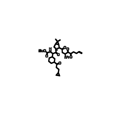 C=CCCC(=O)C(=O)C(CCC)CC(=O)C1C2C(CN1C(=O)C(NC(=O)OCC(C)C)C1CCCC(C(=O)CCC3CC3)C1)C2(C)C